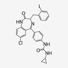 O=C(Nc1ccc(C2=NC(Cc3ccccc3I)C(=O)Nc3ccc(Cl)cc32)cc1)NC1CC1